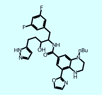 CCCCN1CCNc2c(-c3ncco3)cc(C(=O)NC(Cc3cc(F)cc(F)c3)C(O)CCc3ccn[nH]3)cc21